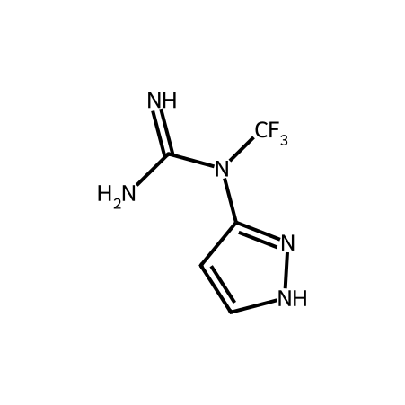 N=C(N)N(c1cc[nH]n1)C(F)(F)F